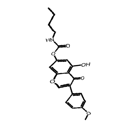 CCCCNC(=O)Oc1cc(O)c2c(=O)c(-c3ccc(OC)cc3)coc2c1